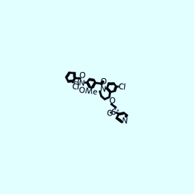 COc1cc(NC(=O)c2ccccc2Cl)ccc1C(=O)N1CCCC(OCC[S+]([O-])c2ccncc2)c2cc(Cl)ccc21